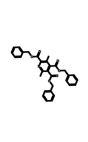 Cc1nc(C(=O)OCc2ccccc2)c(C)c(C(=O)OCc2ccccc2)c1C(=O)OCc1ccccc1